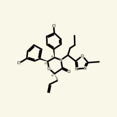 C=CC[C@@H]1O[C@@H](c2cccc(Cl)c2)[C@@H](c2ccc(Cl)cc2)N(C(CCC)c2nnc(C)o2)C1=O